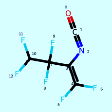 O=C=NC(=C(F)F)C(F)(F)C(F)F